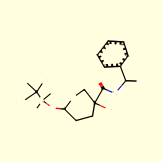 CC(NC(=O)C1(O)CCC(O[Si](C)(C)C(C)(C)C)CC1)c1ccccc1